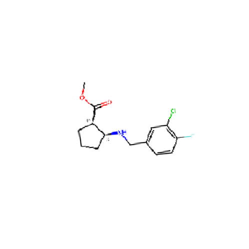 COC(=O)[C@@H]1CCC[C@@H]1NCc1ccc(F)c(Cl)c1